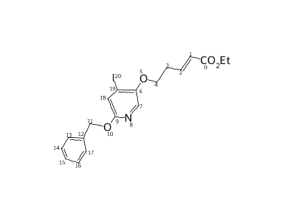 CCOC(=O)/C=C/CCOc1cnc(OCc2ccccc2)cc1I